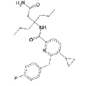 CCCC(CCC)(CC(N)=O)NC(=O)c1ccc(C2CC2)c(Cc2ccc(F)cc2)n1